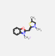 CC1CN(C)/C(=C/c2oc3ccccc3[n+]2C)S1.[I-]